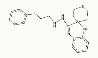 c1ccc(CCCNNC2=Nc3ccccc3NC23CCSCC3)cc1